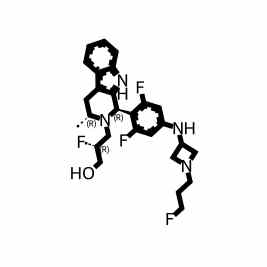 C[C@@H]1Cc2c([nH]c3ccccc23)[C@@H](c2c(F)cc(NC3CN(CCCF)C3)cc2F)N1C[C@@H](F)CO